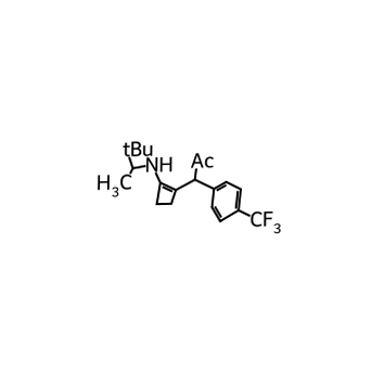 CC(=O)C(C1=C(NC(C)C(C)(C)C)CC1)c1ccc(C(F)(F)F)cc1